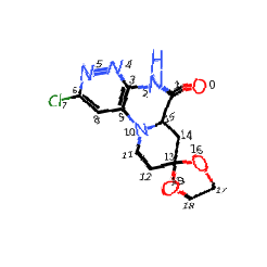 O=C1Nc2nnc(Cl)cc2N2CCC3(CC12)OCCO3